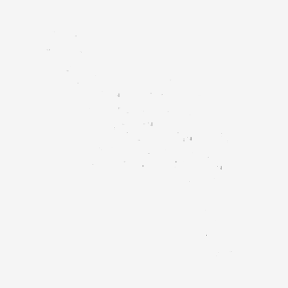 C[C@H](NC(=O)OCc1ccccc1)C(=O)NC(Cc1ccccc1)C(O)C(O)C(Cc1ccccc1)NC(=O)[C@H](C)NC(=O)OCc1ccccc1